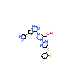 Cn1cc(-c2cc3c(N4CCN(c5ncc(Sc6ccccc6F)cn5)C(CO)C4)ncnn3c2)cn1